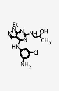 CCn1nnc2c(Nc3cc(N)cc(Cl)c3)nc(NCC(C)O)nc21